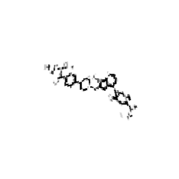 CNc1cc(=O)n(-c2ccnc3c2cc(CN2CCC(c4ccc(C(=O)N(C)C)cc4)CC2)n3C)cn1